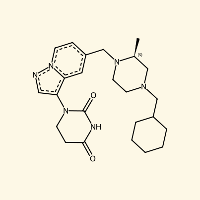 C[C@H]1CN(CC2CCCCC2)CCN1Cc1ccn2ncc(N3CCC(=O)NC3=O)c2c1